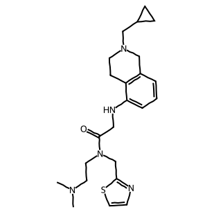 CN(C)CCN(Cc1nccs1)C(=O)CNc1cccc2c1CCN(CC1CC1)C2